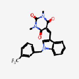 CN1C(=O)C(=Cc2cn(Cc3cccc(C(F)(F)F)c3)c3ccccc23)C(=O)N(C)C1=O